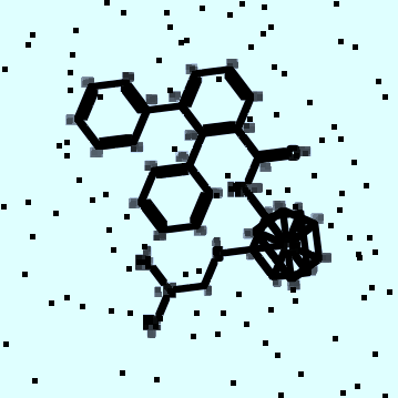 CCN(CC)CS[C]12[CH]3[CH]4[CH]5[C]1(NC(=O)c1cccc(-c6ccccc6)c1-c1ccccc1)[Fe]45321678[CH]2[CH]1[CH]6[CH]7[CH]28